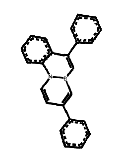 C1=CN2B(C=C1c1ccccc1)C=C(c1ccccc1)c1ccccc12